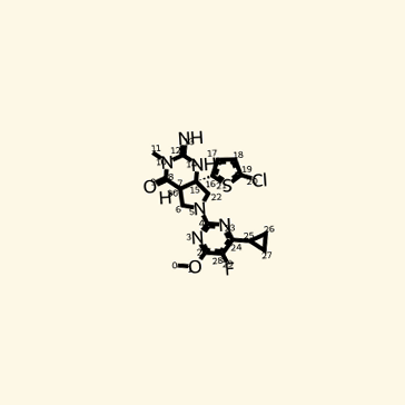 COc1nc(N2C[C@H]3C(=O)N(C)C(=N)N[C@@]3(c3ccc(Cl)s3)C2)nc(C2CC2)c1F